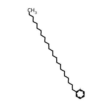 CCCCCCCCCCCCCCCCCCCCCCCCc1[c]cccc1